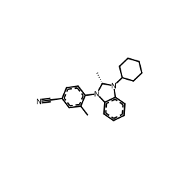 Cc1cc(C#N)ccc1N1c2ccccc2N(C2CCCCC2)[C@H]1C